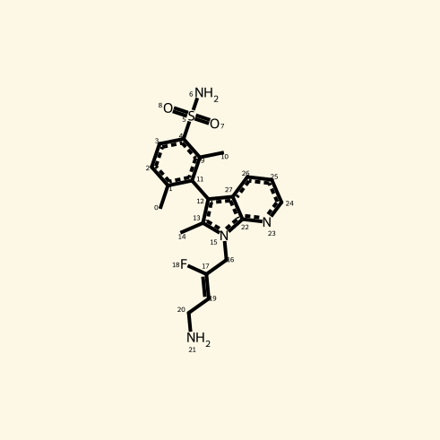 Cc1ccc(S(N)(=O)=O)c(C)c1-c1c(C)n(C/C(F)=C/CN)c2ncccc12